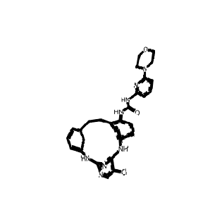 O=C(Nc1cccc(N2CCOCC2)n1)Nc1ccc2cc1CCC1C=CC=C(C1)Nc1ncc(Cl)c(n1)N2